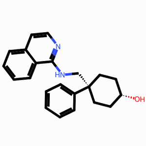 O[C@H]1CC[C@](CNc2nccc3ccccc23)(c2ccccc2)CC1